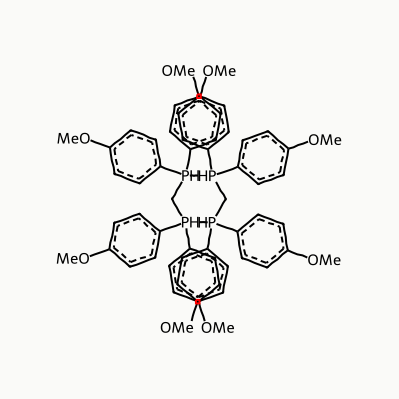 COc1ccc([PH]2(c3ccc(OC)cc3)C[PH](c3ccc(OC)cc3)(c3ccc(OC)cc3)[PH](c3ccc(OC)cc3)(c3ccc(OC)cc3)C[PH]2(c2ccc(OC)cc2)c2ccc(OC)cc2)cc1